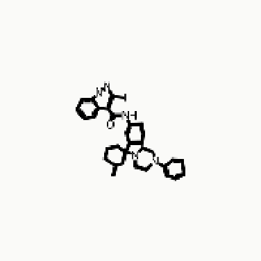 CC1CCCC(c2cccc(NC(=O)c3c(I)nnc4ccccc34)c2)(N2CCN(c3ccccc3)CC2)C1